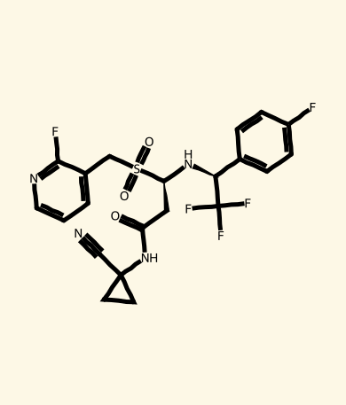 N#CC1(NC(=O)C[C@H](N[C@@H](c2ccc(F)cc2)C(F)(F)F)S(=O)(=O)Cc2cccnc2F)CC1